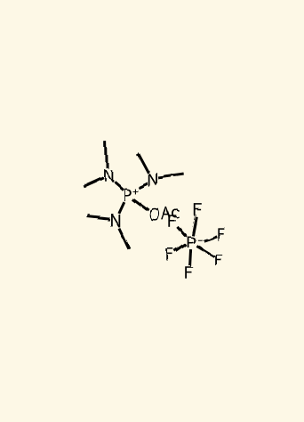 CC(=O)O[P+](N(C)C)(N(C)C)N(C)C.F[P-](F)(F)(F)(F)F